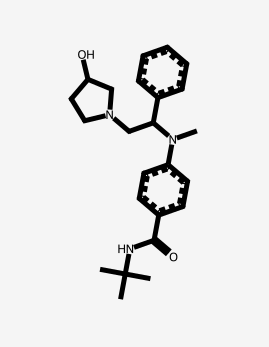 CN(c1ccc(C(=O)NC(C)(C)C)cc1)C(CN1CCC(O)C1)c1ccccc1